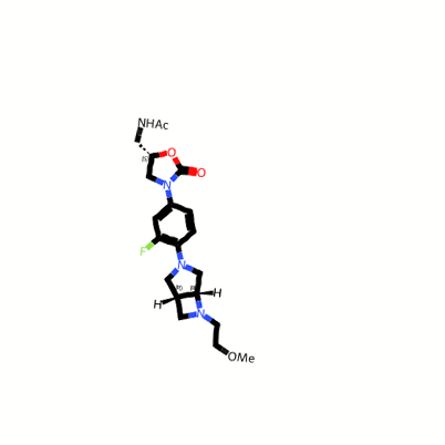 COCCN1C[C@@H]2CN(c3ccc(N4C[C@H](CNC(C)=O)OC4=O)cc3F)C[C@@H]21